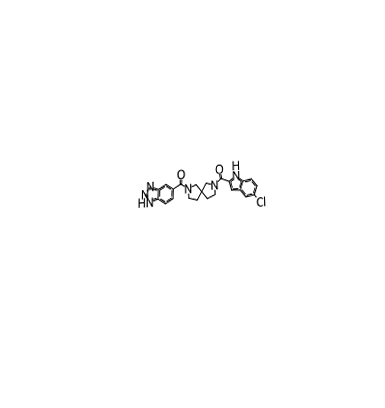 O=C(c1ccc2[nH]nnc2c1)N1CCC2(CCN(C(=O)c3cc4cc(Cl)ccc4[nH]3)C2)C1